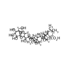 CC1(C)CC[C@]2(C(=O)O)CC[C@]3(C)C(=CC[C@@H]4[C@@]5(C)CC[C@H](OC6OC[C@@H](O)C(OC7OC(CO)C(O)C(O)[C@H]7O)[C@H]6O)C(C)(C)C5(I)CC[C@]43C)[C@@H]2C1